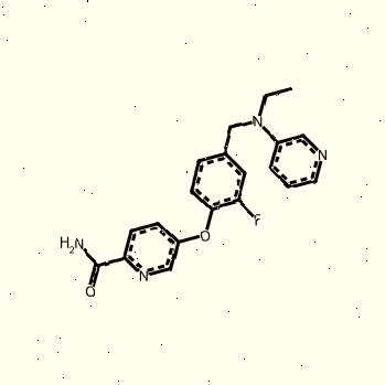 CCN(Cc1ccc(Oc2ccc(C(N)=O)nc2)c(F)c1)c1cccnc1